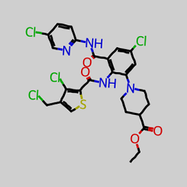 CCOC(=O)C1CCN(c2cc(Cl)cc(C(=O)Nc3ccc(Cl)cn3)c2NC(=O)c2scc(CCl)c2Cl)CC1